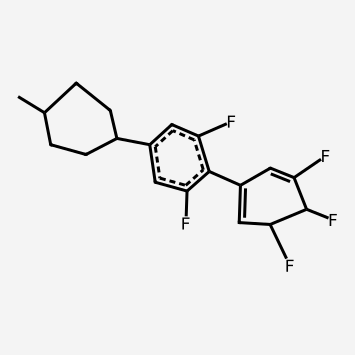 CC1CCC(c2cc(F)c(C3=CC(F)C(F)C(F)=C3)c(F)c2)CC1